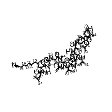 CC[C@H](NC(=O)C(C[C@H](C)C/C=C/CCCC#N)N(C)C(=O)CC(C)C)C(=O)N(C)CC(=O)N(C)[C@@H](CC(C)C)C(=O)N[C@H](C(=O)N(C)[C@@H](CC(C)C)C(=O)N[C@H](C)C(=O)NC(C)C(=O)N(C)[C@@H](CC(C)C)C(=O)N(C)[C@@H](CC(C)C)C(=O)NC)C(C)C